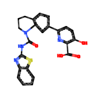 O=C(O)c1nc(-c2ccc3c(c2)N(C(=O)Nc2nc4ccccc4s2)CCC3)ccc1O